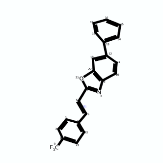 FC(F)(F)c1ccc(/C=C/c2nc3ccc(-c4ccccc4)cc3o2)cc1